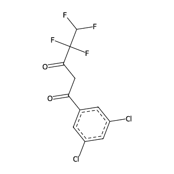 O=C(CC(=O)C(F)(F)C(F)F)c1cc(Cl)cc(Cl)c1